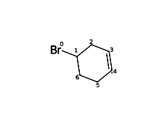 BrC1CC=[C]CC1